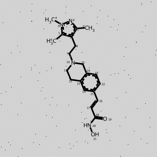 Cc1nn(C)c(C)c1CCN1CCc2cc(C=CC(=O)NO)ccc2C1